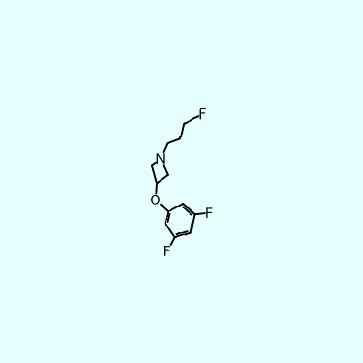 FCCCN1CC(Oc2cc(F)cc(F)c2)C1